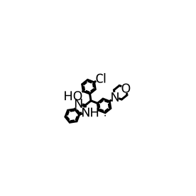 Oc1ccc(Cl)cc1C(c1c[c]cc(N2CCOCC2)c1)c1nc2ccccc2[nH]1